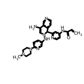 C=CC(=O)Nc1ccnc(C2c3ccncc3C(N)=CN2Nc2ccc(N3CCN(C)CC3)nc2)c1